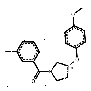 COc1ccc(O[C@@H]2CCN(C(=O)c3cccc(C)c3)C2)cc1